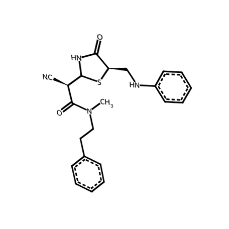 CN(CCc1ccccc1)C(=O)[C@@H](C#N)C1NC(=O)[C@@H](CNc2ccccc2)S1